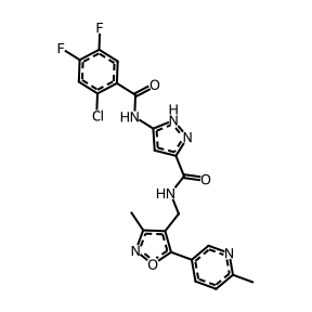 Cc1ccc(-c2onc(C)c2CNC(=O)c2cc(NC(=O)c3cc(F)c(F)cc3Cl)[nH]n2)cn1